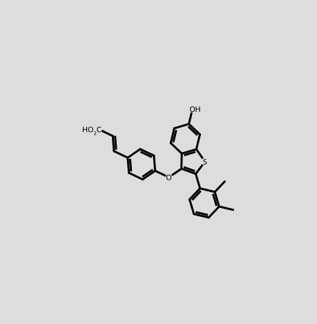 Cc1cccc(-c2sc3cc(O)ccc3c2Oc2ccc(C=CC(=O)O)cc2)c1C